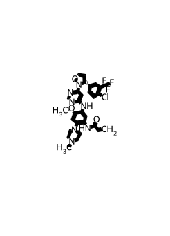 C=CC(=O)Nc1cc(Nc2cc(N3OCC[C@@H]3c3ccc(Cl)c(C(F)(F)F)c3)ncn2)c(OC)cc1N1CCN(C)CC1